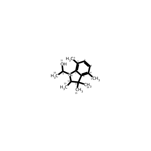 Cc1ccc(C)c2c1N(C(C)O)C(C)C2(C)C